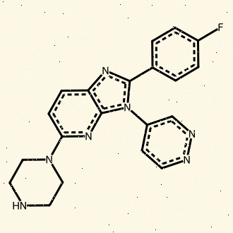 Fc1ccc(-c2nc3ccc(N4CCNCC4)nc3n2-c2ccnnc2)cc1